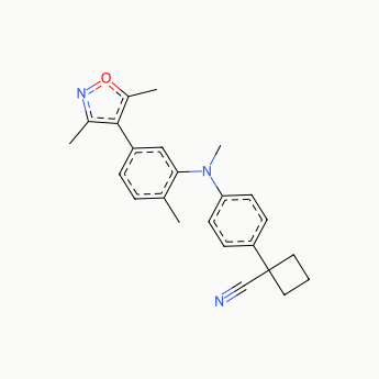 Cc1ccc(-c2c(C)noc2C)cc1N(C)c1ccc(C2(C#N)CCC2)cc1